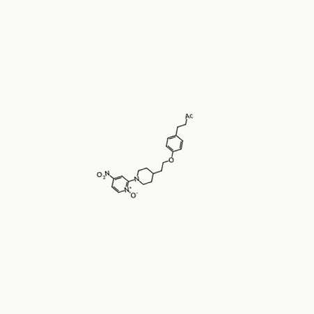 CC(=O)CCc1ccc(OCCC2CCN(c3cc([N+](=O)[O-])cc[n+]3[O-])CC2)cc1